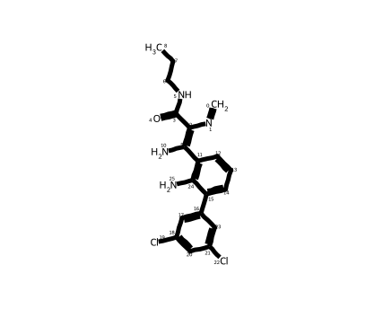 C=N/C(C(=O)NCCC)=C(/N)c1cccc(-c2cc(Cl)cc(Cl)c2)c1N